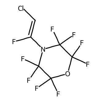 FC(=CCl)N1C(F)(F)C(F)(F)OC(F)(F)C1(F)F